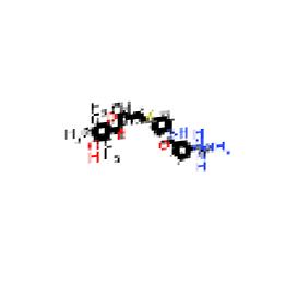 Cc1c(C)c2c(c(C)c1O)C(=O)CC(C)(CCCCSc1ccc(NC(=O)c3cccc(NC(=N)N)c3)cc1)O2